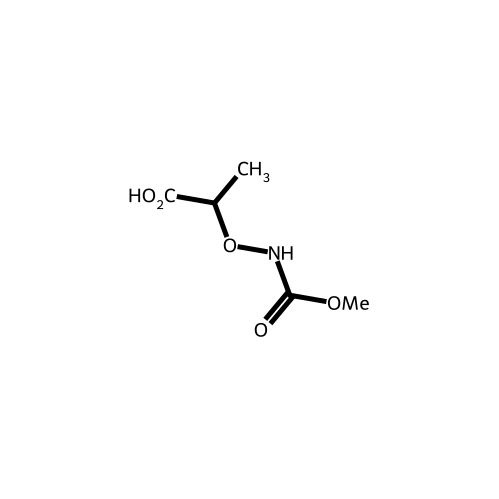 COC(=O)NOC(C)C(=O)O